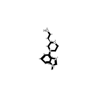 Cn1cnc2c(N3CCO[C@H](CCO)C3)cccc21